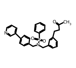 CC(=O)CCc1cccc(CN(Cc2ccc(-c3cccnc3)cc2)S(=O)(=O)c2ccccc2)c1